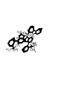 CC1=Cc2c(-c3ccccc3C(C)(C)C)cccc2[CH]1[Zr]([Cl])([Cl])([c]1cccc2c1[SiH2]c1ccccc1-2)[CH]1C(C)=Cc2c(-c3ccccc3C(C)(C)C)cccc21